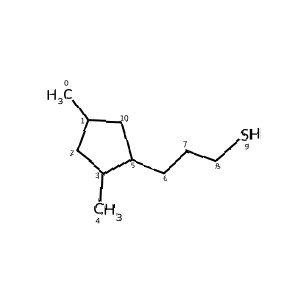 CC1CC(C)C(CCCS)C1